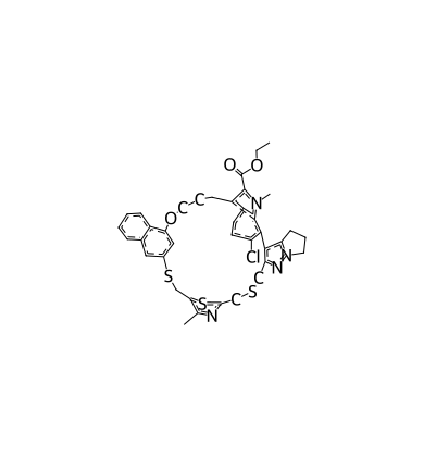 CCOC(=O)c1c2c3ccc(Cl)c(c3n1C)-c1c(nn3c1CCC3)CSCc1nc(C)c(s1)CSc1cc(c3ccccc3c1)OCCC2